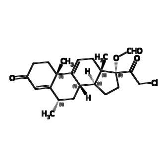 C[C@H]1C[C@@H]2C(=CC[C@@]3(C)[C@H]2CC[C@]3(OC=O)C(=O)CCl)[C@@]2(C)CCC(=O)C=C12